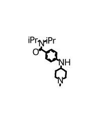 CC(C)N(C(=O)c1ccc(NC2CCN(C)CC2)cc1)C(C)C